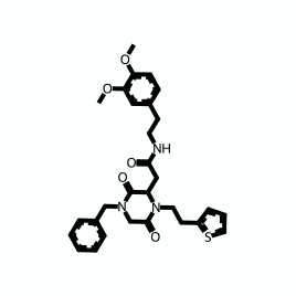 COc1ccc(CCNC(=O)CC2C(=O)N(Cc3ccccc3)CC(=O)N2CCc2cccs2)cc1OC